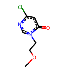 COCCn1cnc(Cl)cc1=O